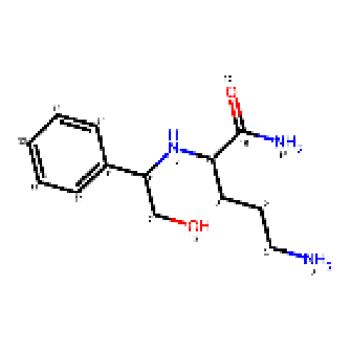 NCCCC(NC(CO)c1ccccc1)C(N)=O